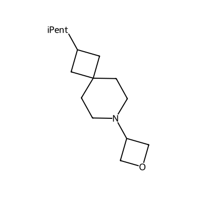 CCCC(C)C1CC2(CCN(C3COC3)CC2)C1